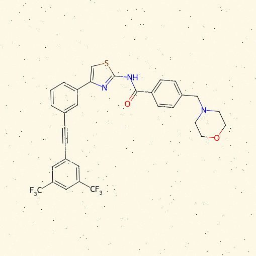 O=C(Nc1nc(-c2cccc(C#Cc3cc(C(F)(F)F)cc(C(F)(F)F)c3)c2)cs1)c1ccc(CN2CCOCC2)cc1